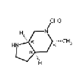 C[C@@H]1C[C@H]2CCN[C@H]2CN1C=O